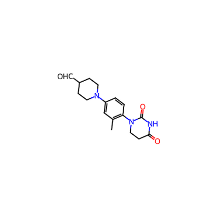 Cc1cc(N2CCC(C=O)CC2)ccc1N1CCC(=O)NC1=O